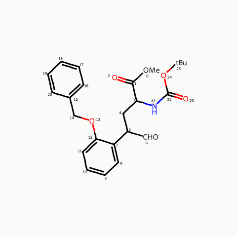 COC(=O)C(CC(C=O)c1ccccc1OCc1ccccc1)NC(=O)OC(C)(C)C